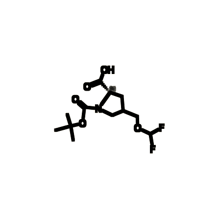 CC(C)(C)OC(=O)N1CC(COC(F)F)C[C@H]1C(=O)O